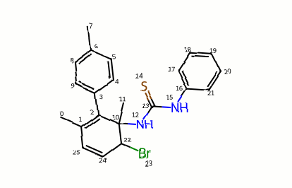 CC1=C(c2ccc(C)cc2)C(C)(NC(=S)Nc2ccccc2)C(Br)C=C1